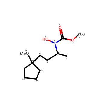 CCCCOC(=O)N(O)C(C)CCC1(OC)CCCC1